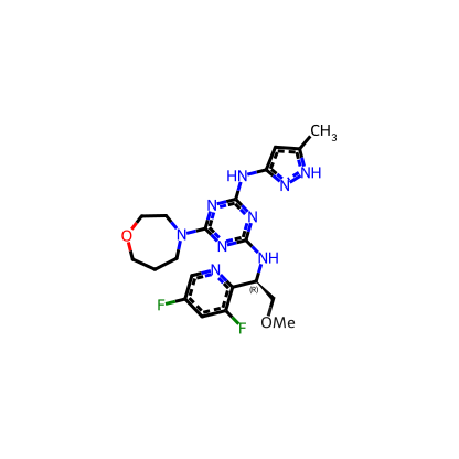 COC[C@H](Nc1nc(Nc2cc(C)[nH]n2)nc(N2CCCOCC2)n1)c1ncc(F)cc1F